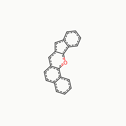 c1ccc2c3oc4c(ccc5ccccc54)cc-3cc2c1